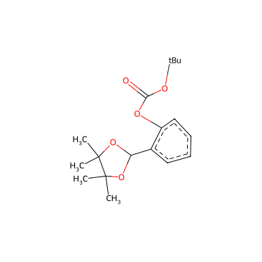 CC(C)(C)OC(=O)Oc1ccccc1C1OC(C)(C)C(C)(C)O1